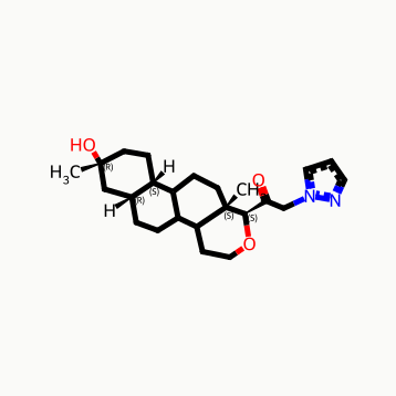 C[C@@]1(O)CC[C@@H]2C3CC[C@@]4(C)C(CCO[C@@H]4C(=O)Cn4cccn4)C3CC[C@@H]2C1